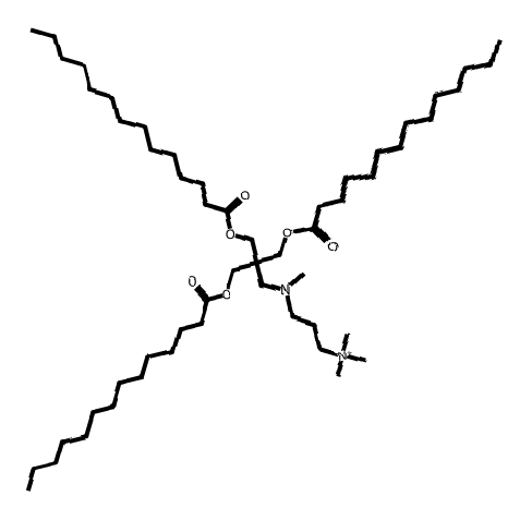 CCCCCCCCCCCCCC(=O)OCC(COC(=O)CCCCCCCCCCCCC)(COC(=O)CCCCCCCCCCCCC)CN(C)CCC[N+](C)(C)C